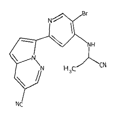 CC(C#N)Nc1cc(-c2ccc3cc(C#N)cnn23)ncc1Br